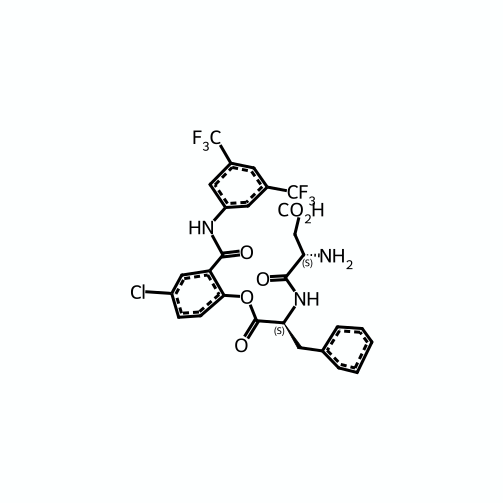 N[C@@H](CC(=O)O)C(=O)N[C@@H](Cc1ccccc1)C(=O)Oc1ccc(Cl)cc1C(=O)Nc1cc(C(F)(F)F)cc(C(F)(F)F)c1